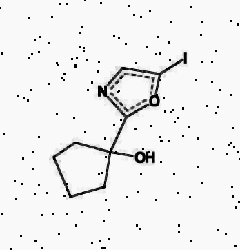 OC1(c2ncc(I)o2)CCCC1